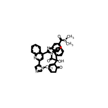 CN(C)C(=O)c1ccc2c(c1)nc(-c1cc(-c3cncn3C)nc3ccccc13)n2C(=O)C(O)(C1=CC=CCC1=O)c1ccccc1